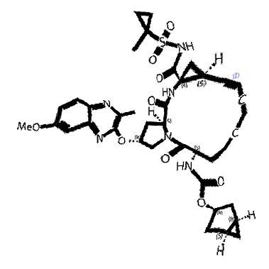 COc1ccc2nc(C)c(O[C@@H]3C[C@H]4C(=O)N[C@]5(C(=O)NS(=O)(=O)C6(C)CC6)C[C@H]5/C=C\CCCCC[C@H](NC(=O)O[C@@H]5C[C@@H]6C[C@@H]6C5)C(=O)N4C3)nc2c1